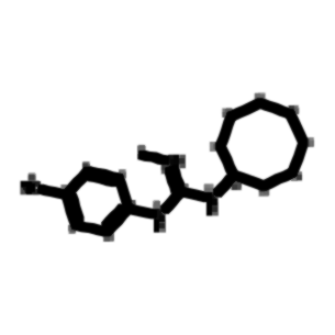 C[SH]=C(Nc1ccc(C#N)cc1)NC1CCCCCCC1